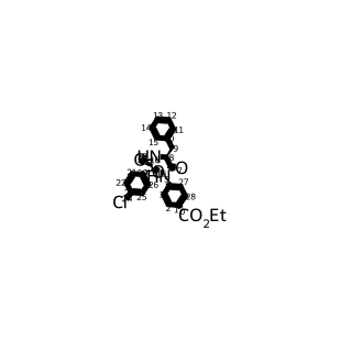 CCOC(=O)c1ccc(NC(=O)[C@H](Cc2ccccc2)NS(=O)(=O)c2ccc(Cl)cc2)cc1